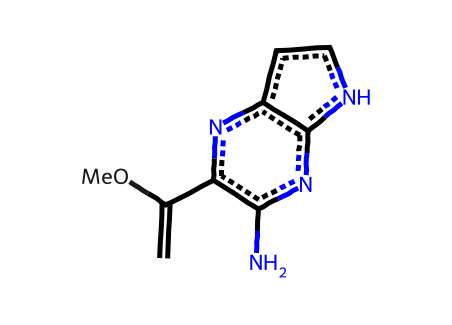 C=C(OC)c1nc2cc[nH]c2nc1N